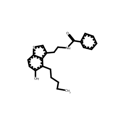 CCCCCc1c(O)ccc2scc(CCNC(=O)c3ccccc3)c12